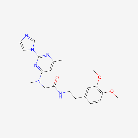 COc1ccc(CCNC(=O)CN(C)c2cc(C)nc(-n3ccnc3)n2)cc1OC